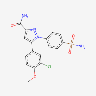 COc1ccc(-c2cc(C(N)=O)nn2-c2ccc(S(N)(=O)=O)cc2)cc1Cl